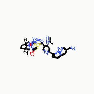 CC(=O)NC1[C@@H]2CC[C@H]1CN(c1nnc(-c3cnc(-c4ccc5cc(C#N)cnn45)cc3NC(C)C)s1)C2